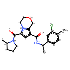 CC[C@@H](NC(=O)c1cc(C(=O)N2CCCC2C)n2c1COCC2)c1ccc(OC)c(Cl)c1